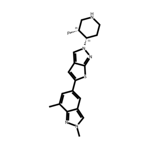 Cc1cc(-c2cc3cn([C@H]4CCNC[C@H]4F)nc3s2)cc2cn(C)nc12